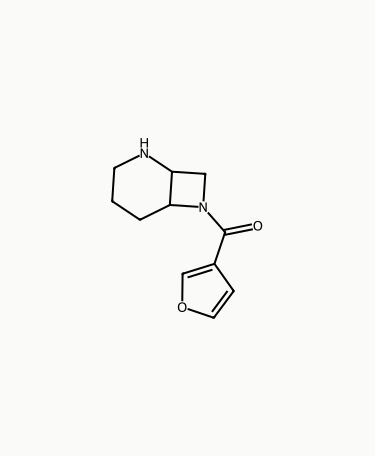 O=C(c1ccoc1)N1CC2NCCCC21